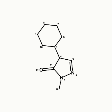 CN1N=CC(C2CCCCC2)C1=O